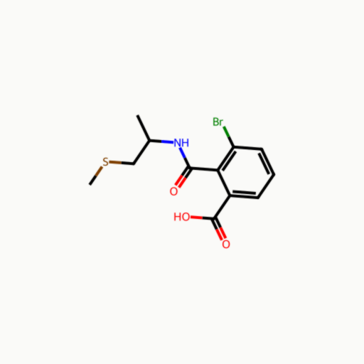 CSCC(C)NC(=O)c1c(Br)cccc1C(=O)O